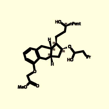 CCCCC[C@H](O)CC[C@@H]1[C@H]2Cc3cccc(OCC(=O)OC)c3C[C@H]2C[C@H]1OC(O)CC(C)C